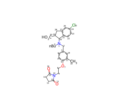 CCCCN(Cc1ccc(OCCN2C(=O)CCC2=O)c(C)c1)C1c2ccc(Cl)cc2CC1C(=O)O